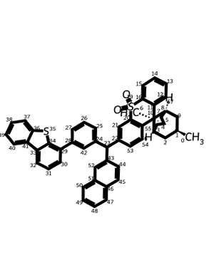 C[C@H]1C[C@@H]2C[C@@H](C)C[C@H](C1)C21c2ccccc2S(=O)(=O)c2cc(C(c3cccc(-c4cccc5c4sc4ccccc45)c3)c3ccc4ccccc4c3)ccc21